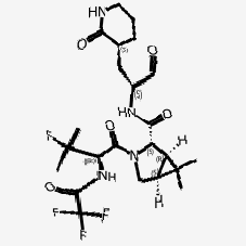 CC(C)(F)[C@H](NC(=O)C(F)(F)F)C(=O)N1C[C@H]2[C@@H]([C@H]1C(=O)N[C@H](C=O)C[C@@H]1CCCNC1=O)C2(C)C